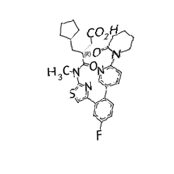 CN(C(=O)[C@@H](CC(=O)O)CC1CCCC1)c1nc(-c2cc(F)ccc2-c2ccc(N3CCCCC3=O)nc2)cs1